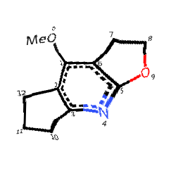 COc1c2c(nc3c1CCO3)CCC2